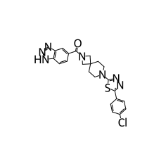 O=C(c1ccc2[nH]nnc2c1)N1CC2(CCN(c3nnc(-c4ccc(Cl)cc4)s3)CC2)C1